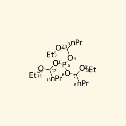 CCCC(OCC)OP(OC(CCC)OCC)OC(CCC)OCC